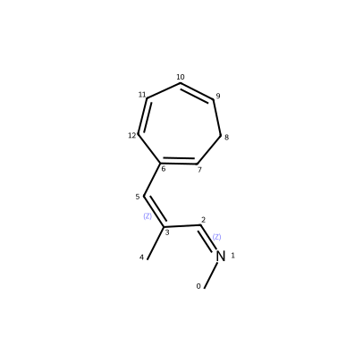 C/N=C\C(C)=C/C1=CCC=CC=C1